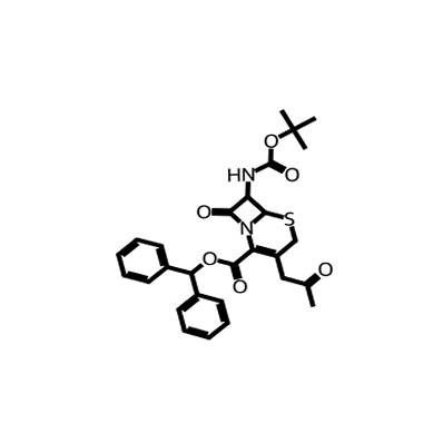 CC(=O)CC1=C(C(=O)OC(c2ccccc2)c2ccccc2)N2C(=O)C(NC(=O)OC(C)(C)C)C2SC1